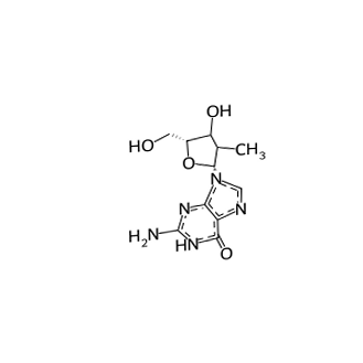 CC1C(O)[C@@H](CO)O[C@H]1n1cnc2c(=O)[nH]c(N)nc21